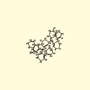 CC1C=CC(N(C2=CCCCC2C2=CCCCC2)C2C=C3C(CC2)c2c(cc(F)c4c2C=CCC4)C3(C2=CCCC=C2)C2C=CCCC2)CC1